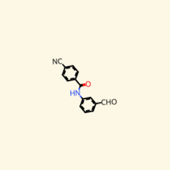 N#Cc1ccc(C(=O)Nc2cccc(C=O)c2)cc1